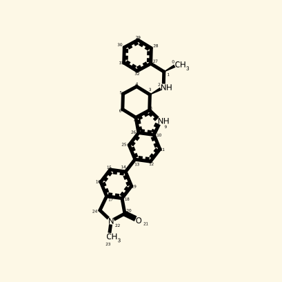 C[C@@H](N[C@@H]1CCCc2c1[nH]c1ccc(-c3ccc4c(c3)C(=O)N(C)C4)cc21)c1ccccc1